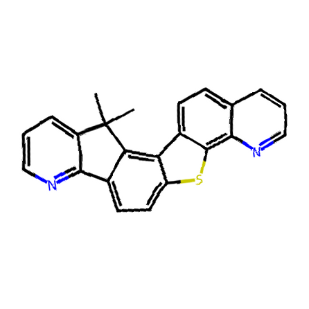 CC1(C)c2cccnc2-c2ccc3sc4c(ccc5cccnc54)c3c21